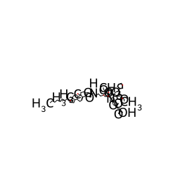 CCCCCCCCC1CCC2C3CC=C4CC(OC(=O)NCCCCCC(=O)N5CC(OC(=O)CCC(=O)O)CC5C(OCc5ccccc5)(c5ccc(OC)cc5)c5ccc(OC)cc5)CCC4(C)C3CCC12C